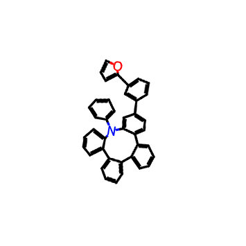 c1ccc(-n2c3ccccc3c3ccccc3c3ccccc3c3ccc(-c4cccc(-c5ccco5)c4)cc32)cc1